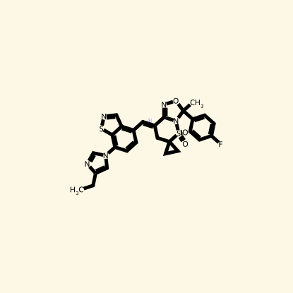 CCc1cn(-c2ccc(/C=C3\CC4(CC4)S(=O)(=O)N4C3=NOC4(C)c3ccc(F)cc3)c3cnsc23)cn1